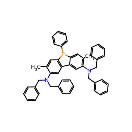 Cc1cc2c(cc1N(Cc1ccccc1)Cc1ccccc1)c1cc(N(Cc3ccccc3)Cc3ccccc3)c(C)cc1p2-c1ccccc1